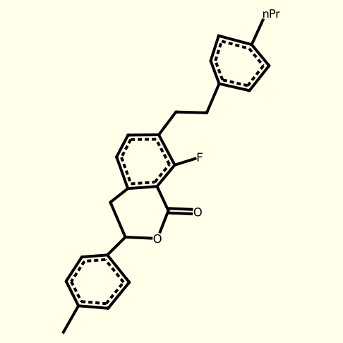 CCCc1ccc(CCc2ccc3c(c2F)C(=O)OC(c2ccc(C)cc2)C3)cc1